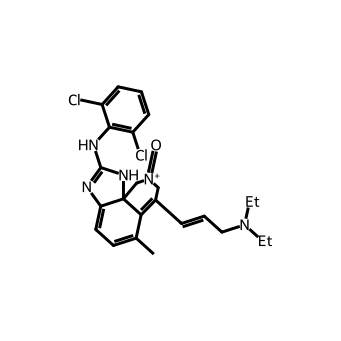 CCN(CC)C/C=C/C1=C2C(C)=CC=C3N=C(Nc4c(Cl)cccc4Cl)NC32C[N+](=O)C1